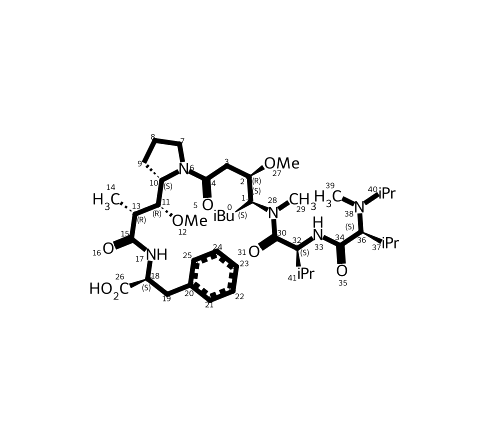 CC[C@H](C)[C@@H]([C@@H](CC(=O)N1CCC[C@H]1[C@H](OC)[C@@H](C)C(=O)N[C@@H](Cc1ccccc1)C(=O)O)OC)N(C)C(=O)[C@@H](NC(=O)[C@H](C(C)C)N(C)C(C)C)C(C)C